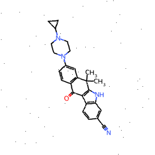 CC1(C)c2cc(N3CCN(C4CC4)CC3)ccc2C(=O)c2c1[nH]c1cc(C#N)ccc21